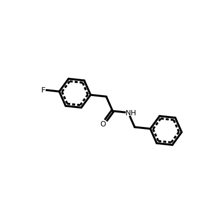 O=C(Cc1ccc(F)cc1)NCc1ccccc1